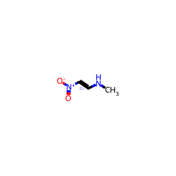 CN/C=C/[N+](=O)[O-]